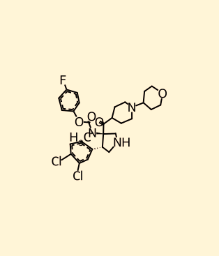 CN(C(=O)Oc1ccc(F)cc1)[C@@]1(C(=O)C2CCN(C3CCOCC3)CC2)CNC[C@@H]1c1ccc(Cl)c(Cl)c1